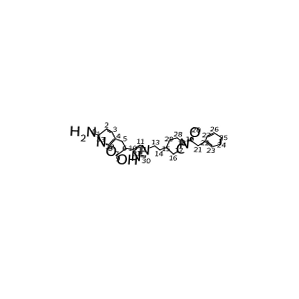 Nc1ccc(CC(C(=O)O)c2cn(CCC3CCN(C(=O)Cc4ccccc4)CC3)cn2)cn1